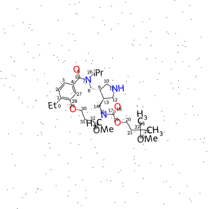 CCc1ccc(C(=O)N(C[C@@H]2CNC[C@H]2CN(C)C(=O)OCCC(C)(C)OC)C(C)C)cc1OCCCOC